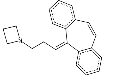 C1=Cc2ccccc2C(=CCCN2CCC2)c2ccccc21